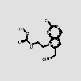 CC(C)(C)OC(=O)NCCn1c(CC=O)cc2cnc(Cl)nc21